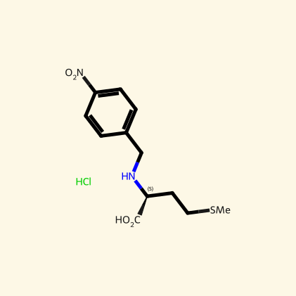 CSCC[C@H](NCc1ccc([N+](=O)[O-])cc1)C(=O)O.Cl